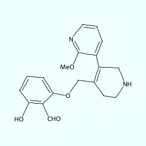 COc1ncccc1C1=C(COc2cccc(O)c2C=O)CCNC1